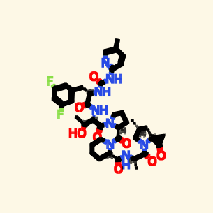 Cc1ccc(NC(=O)N[C@@H](Cc2cc(F)cc(F)c2)C(=O)N[C@H](C(=O)N2CCC[C@H]2C(=O)N2CCCC[C@H]2C(=O)N[C@@H](C)C(=O)N2C[C@H](C)C[C@@]23CC3=O)[C@H](C)O)nc1